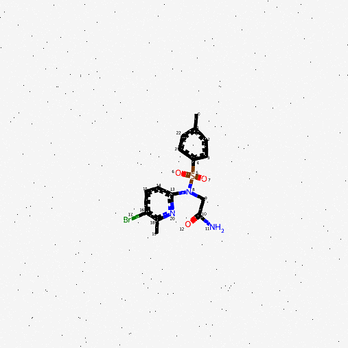 Cc1ccc(S(=O)(=O)N(CC(N)=O)c2ccc(Br)c(C)n2)cc1